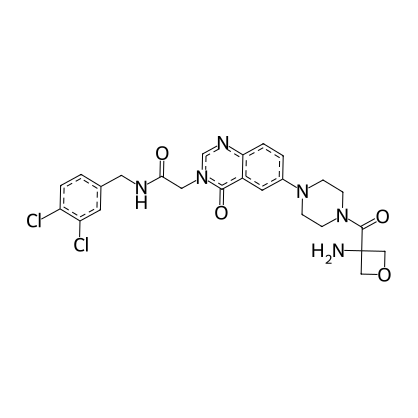 NC1(C(=O)N2CCN(c3ccc4ncn(CC(=O)NCc5ccc(Cl)c(Cl)c5)c(=O)c4c3)CC2)COC1